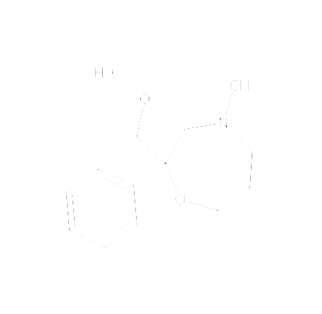 COCC1(c2ccccc2)CN(C)CCCO1